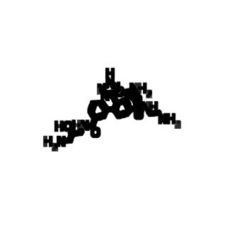 NCCNS(=O)(=O)c1ccc(-c2cccc(C(=O)NCC(O)CN)c2)c(-c2nn[nH]n2)c1S(N)(=O)=O